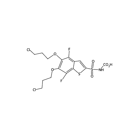 O=C(O)NS(=O)(=O)c1cc2c(F)c(OCCCCl)c(OCCCCl)c(F)c2s1